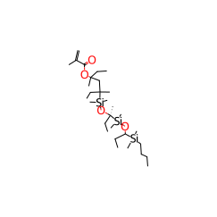 C=C(C)C(=O)OC(C)(CC)CC(C)(CC)[Si](C)(C)O[C@](C)(CC)[Si](C)(C)OC(CC)[Si](C)(C)CCCC